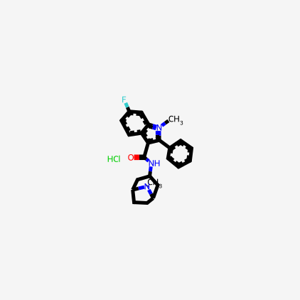 CN1C2CCC1CC(NC(=O)c1c(-c3ccccc3)n(C)c3cc(F)ccc13)C2.Cl